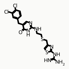 N=C(N)Nc1nc(CSCCNc2ncc(Cc3ccc(Cl)c(Cl)c3)c(=O)[nH]2)cs1